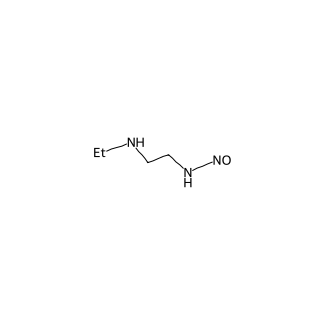 CCNCCNN=O